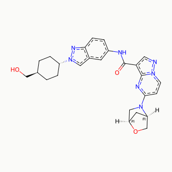 O=C(Nc1ccc2nn([C@H]3CC[C@H](CO)CC3)cc2c1)c1cnn2ccc(N3C[C@H]4C[C@@H]3CO4)nc12